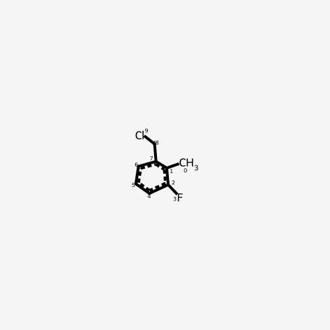 Cc1c(F)cccc1[CH]Cl